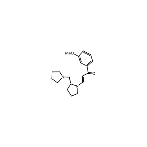 COc1cccc(C(=O)/C=C/N2CCC[C@H]2CN2CCCC2)c1